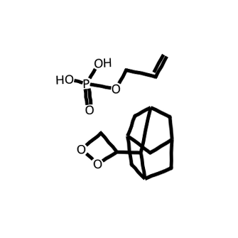 C1C2CC3CC1CC(C2)C3C1COO1.C=CCOP(=O)(O)O